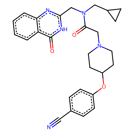 N#Cc1ccc(OC2CCN(CC(=O)N(Cc3nc4ccccc4c(=O)[nH]3)CC3CC3)CC2)cc1